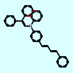 C(=C(c1ccccc1)c1ccccc1)N(c1ccccc1)c1ccc(/C=C/C=C/c2ccccc2)cc1